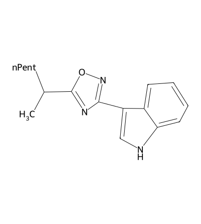 CCCCCC(C)c1nc(-c2c[nH]c3ccccc23)no1